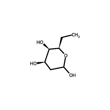 CC[C@H]1OC(O)C[C@@H](O)[C@H]1O